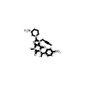 CC#CCn1c(N2CCC[C@@H](N)C2)nc2c1c(=O)n(C(C)c1ccc([N+](=O)[O-])cc1)c(=O)n2C